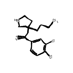 O=C(c1ccc(Cl)c(Cl)c1)C1(CCCC(F)(F)F)CCNC1